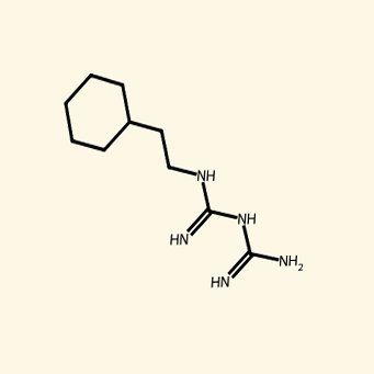 N=C(N)NC(=N)NCCC1CCCCC1